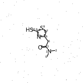 CN(C)C(=O)Cc1csc(S)n1